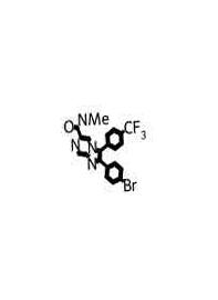 CNC(=O)c1cn2c(-c3ccc(C(F)(F)F)cc3)c(-c3ccc(Br)cc3)nc2cn1